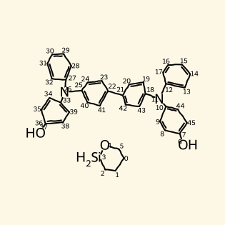 C1CC[SiH2]OC1.Oc1ccc(N(c2ccccc2)c2ccc(-c3ccc(N(c4ccccc4)c4ccc(O)cc4)cc3)cc2)cc1